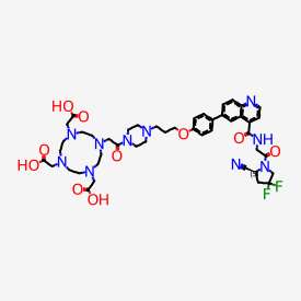 N#C[C@@H]1CC(F)(F)CN1C(=O)CNC(=O)c1ccnc2ccc(-c3ccc(OCCCN4CCN(C(=O)CN5CCN(CC(=O)O)CCN(CC(=O)O)CCN(CC(=O)O)CC5)CC4)cc3)cc12